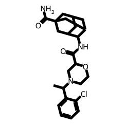 CC(c1ccccc1Cl)N1CCOC(C(=O)NC2C3CC4CC2CC(C(N)=O)(C4)C3)C1